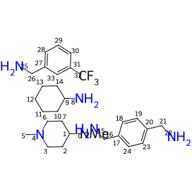 CNC1CCN(C)CC1.NC1CCCCC1.NCc1ccc(CN)cc1.NCc1cccc(C(F)(F)F)c1